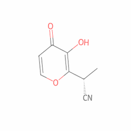 C[C@H](C#N)c1occc(=O)c1O